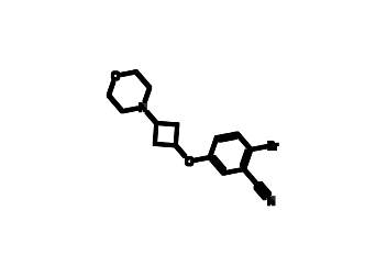 N#Cc1cc(OC2CC(N3CCOCC3)C2)ccc1Br